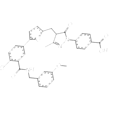 COc1cccc(CNC(=O)c2cc(-c3ccc(CC4C(=O)N(c5ccc(C(=O)O)cc5)N=C4C)o3)ccc2Cl)c1